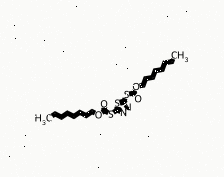 CCCCCCCCOC(=O)Sc1nnc(SC(=O)OCCCCCCCC)s1